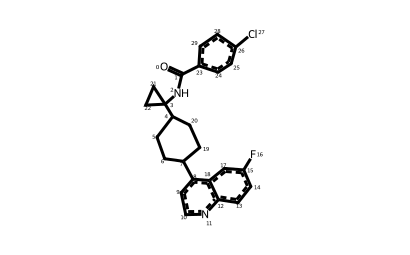 O=C(NC1(C2CCC(c3ccnc4ccc(F)cc34)CC2)CC1)c1ccc(Cl)cc1